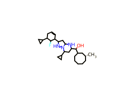 C[C@@H]1CCCCCC(C(O)C2CC(C3CC3)N3NC(C4C=CCC(C5CC5)C4F)CC3N2)C1